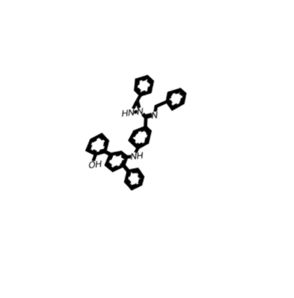 Oc1ccccc1-c1ccc(-c2ccccc2)c(Nc2ccc(/C(=N/Cc3ccccc3)N3NC3c3ccccc3)cc2)c1